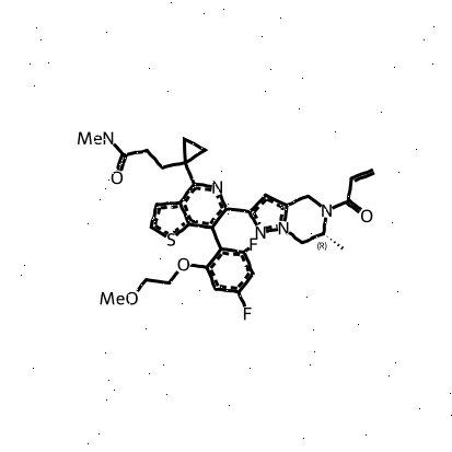 C=CC(=O)N1Cc2cc(-c3nc(C4(CCC(=O)NC)CC4)c4ccsc4c3-c3c(F)cc(F)cc3OCCOC)nn2C[C@H]1C